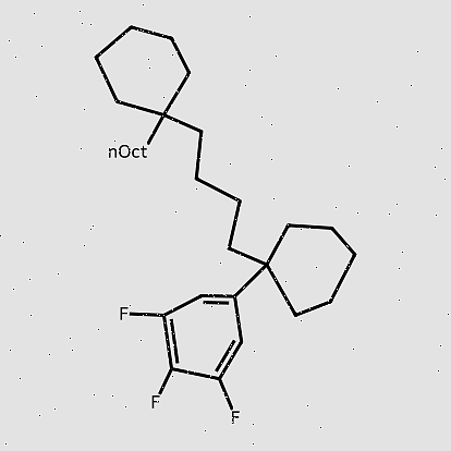 CCCCCCCCC1(CCCCC2(c3cc(F)c(F)c(F)c3)CCCCC2)CCCCC1